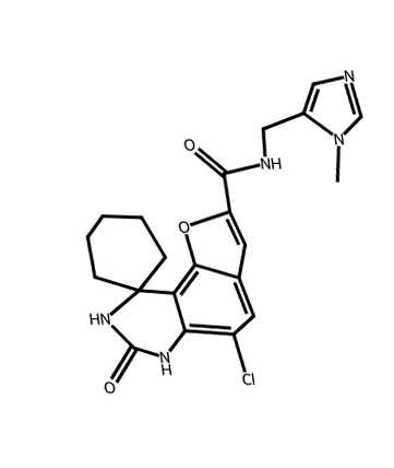 Cn1cncc1CNC(=O)c1cc2cc(Cl)c3c(c2o1)C1(CCCCC1)NC(=O)N3